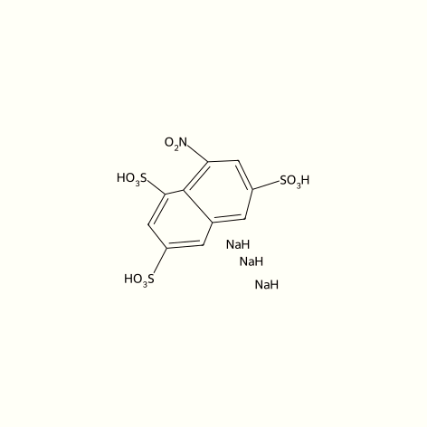 O=[N+]([O-])c1cc(S(=O)(=O)O)cc2cc(S(=O)(=O)O)cc(S(=O)(=O)O)c12.[NaH].[NaH].[NaH]